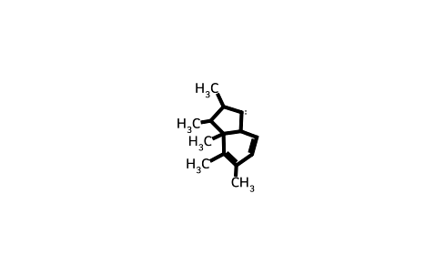 CC1=C(C)C2(C)C([C]C(C)C2C)C=C1